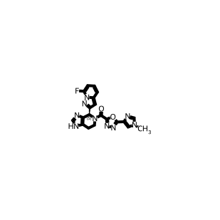 Cn1cnc(-c2nnc(C(=O)N3CCc4[nH]cnc4[C@H]3c3cc4cccc(F)n4n3)o2)c1